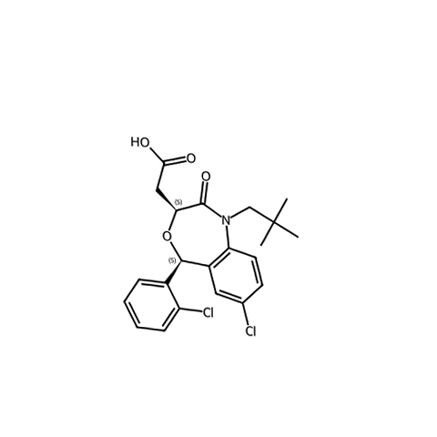 CC(C)(C)CN1C(=O)[C@H](CC(=O)O)O[C@H](c2ccccc2Cl)c2cc(Cl)ccc21